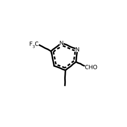 Cc1cc(C(F)(F)F)nnc1C=O